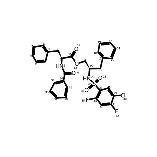 O=C(N[C@@H](Cc1ccccc1)C(=O)OC[C@@H](Cc1ccccc1)NS(=O)(=O)c1cc(Cl)c(F)cc1F)c1ccccc1